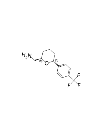 NC[C@H]1CCC[C@@H](c2ccc(C(F)(F)F)cc2)O1